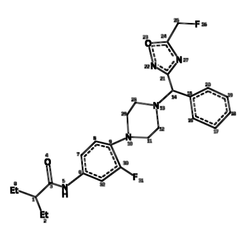 CCC(CC)C(=O)Nc1ccc(N2CCN(C(c3ccccc3)c3noc(CF)n3)CC2)c(F)c1